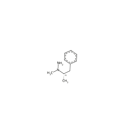 C[C@@H](Cc1ccccc1)N(C)N